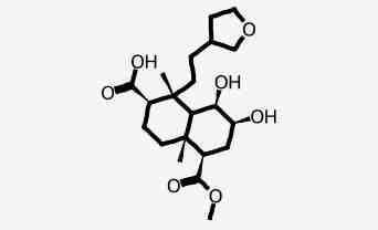 COC(=O)[C@@H]1C[C@H](O)[C@H](O)C2[C@@](C)(CCC3CCOC3)[C@H](C(=O)O)CC[C@]21C